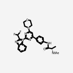 CN[C@@H](C)C(=O)Nc1ccc(-c2cc(N3CCOCC3)nc(-n3c(C(F)F)nc4ccccc43)n2)cc1